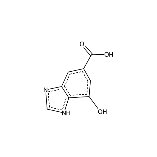 O=C(O)c1cc(O)c2[nH]cnc2c1